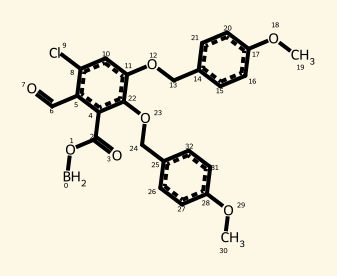 BOC(=O)c1c(C=O)c(Cl)cc(OCc2ccc(OC)cc2)c1OCc1ccc(OC)cc1